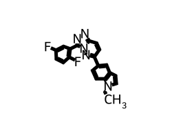 CCn1ccc2cc(-c3ccc4nnc(-c5cc(F)ccc5F)n4n3)ccc21